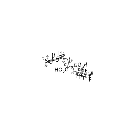 CC(C)(CC(C)(C)C(C(=O)O)=C(CC(F)(F)C(F)(F)C(F)(F)C(F)F)C(=O)O)[SiH2]O[SiH2]O[Si](C)(C)C